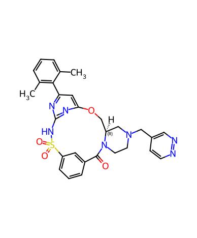 Cc1cccc(C)c1-c1cc2nc(n1)NS(=O)(=O)c1cccc(c1)C(=O)N1CCN(Cc3ccnnc3)C[C@@H]1CO2